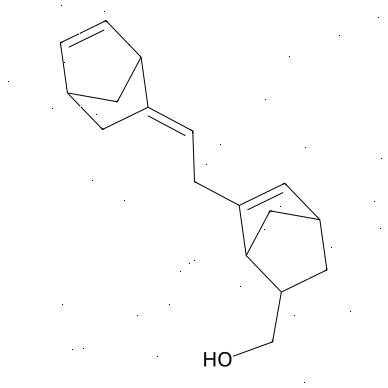 OCC1CC2C=C(C/C=C3\CC4C=CC3C4)C1C2